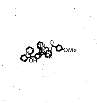 COc1ccc(C(=O)OCN2C(=O)C3C4C=C(C(O)(c5ccccc5)c5ccccn5)C(C4=C(c4ccccc4)c4ccccn4)C3C2=O)cc1